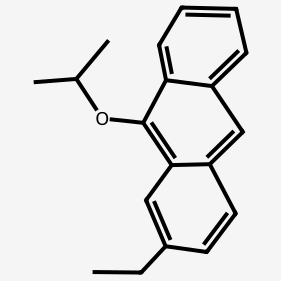 CCc1ccc2cc3ccccc3c(OC(C)C)c2c1